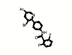 CC(=O)c1cnc(-c2ccc(NC(=O)c3c(F)cccc3F)cc2)c(Br)c1